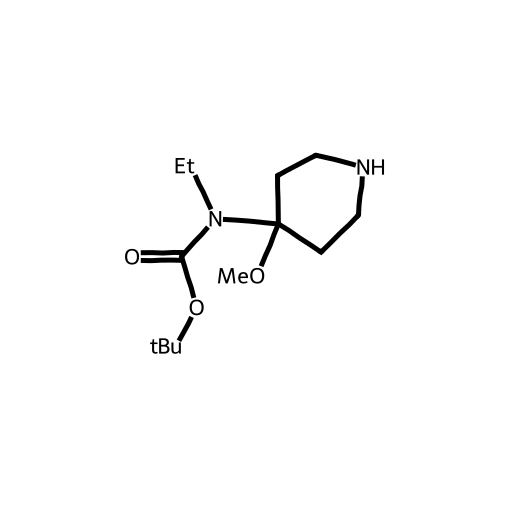 CCN(C(=O)OC(C)(C)C)C1(OC)CCNCC1